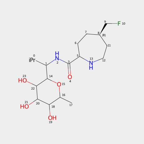 CC(C)C(NC(=O)C1CC[C@@H](CF)CCN1)C1OC(C)C(O)C(O)C1O